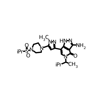 CC(C)C(C)n1cc(-c2cc(N3CCN(S(=O)(=O)C(C)C)CC3)n(C)n2)c2[nH]nc(N)c2c1=O